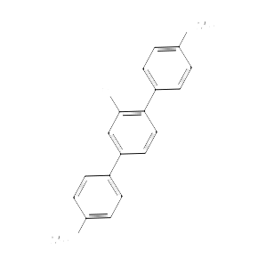 COc1ccc(-c2ccc(-c3ccc(OC)cc3)c(Br)c2)cc1